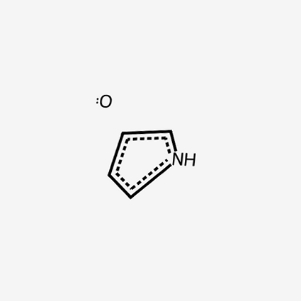 [O].c1cc[nH]c1